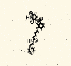 O=C(CCCCSc1cccc2c1CN(C1CCC(=O)NC1=O)C2=O)NCCN1CCOCC1